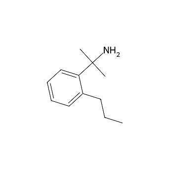 CCCc1ccccc1C(C)(C)N